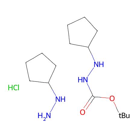 CC(C)(C)OC(=O)NNC1CCCC1.Cl.NNC1CCCC1